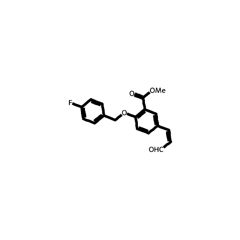 COC(=O)c1cc(/C=C\C=O)ccc1OCc1ccc(F)cc1